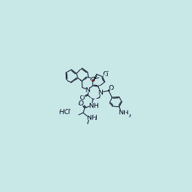 CNC(C)C(=O)NC1CN(C(=O)c2ccc(N)cc2)c2cc(Cl)ccc2N(Cc2c(OC)ccc3ccccc23)C1=O.Cl